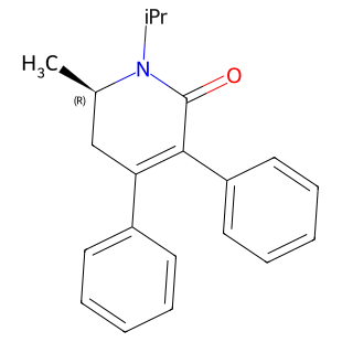 CC(C)N1C(=O)C(c2ccccc2)=C(c2ccccc2)C[C@H]1C